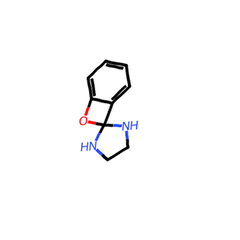 c1ccc2c(c1)OC21NCCN1